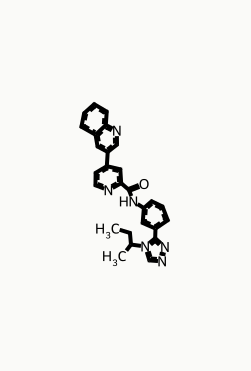 CCC(C)n1cnnc1-c1cccc(NC(=O)c2cc(-c3cnc4ccccc4c3)ccn2)c1